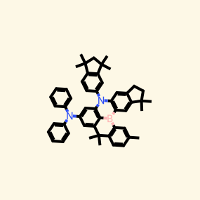 Cc1ccc2c(c1)B1c3cc4c(cc3N(c3ccc5c(c3)C(C)(C)CC5(C)C)c3cc(N(c5ccccc5)c5ccccc5)cc(c31)C2(C)C)CCC4(C)C